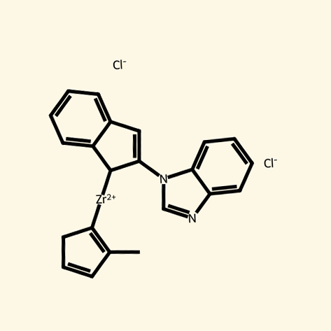 CC1=[C]([Zr+2][CH]2C(n3cnc4ccccc43)=Cc3ccccc32)CC=C1.[Cl-].[Cl-]